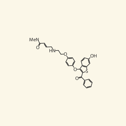 CNC(=O)/C=C/CNCCOc1ccc(Oc2c(C(=O)c3ccccc3)sc3cc(O)ccc23)cc1